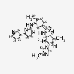 [2H]c1c(C)c([2H])c(-n2cnc(C)c2)c([2H])c1NC(=O)c1ccc(C)c(Nc2nccc(-c3cccnc3)n2)c1